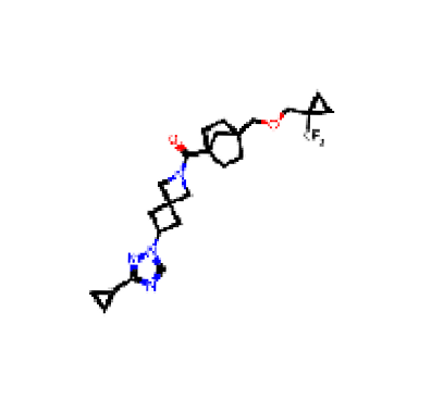 O=C(N1CC2(CC(n3cnc(C4CC4)n3)C2)C1)C12CCC(COCC3(C(F)(F)F)CC3)(CC1)C2